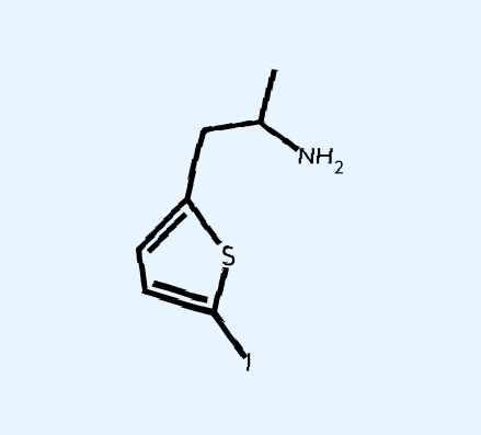 CC(N)Cc1ccc(I)s1